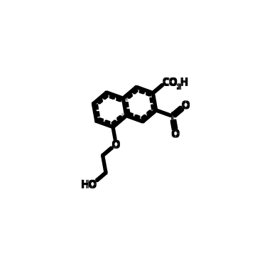 O=C(O)c1cc2cccc(OCCO)c2cc1I(=O)=O